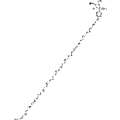 COCCOCCOCCOCCOCCOCCOCCOCCOCCOCCOCCOCCOCCOCCOCCOCCOCCOc1ccc(C(C)(C)CC(C)CC(C)(C)C)cc1